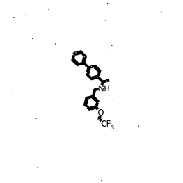 CC(NCc1cccc(OCC(F)(F)F)c1)c1ccc(-c2ccccc2)cc1